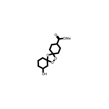 COC(=O)C1CCC2(CC1)OOC1(CCCC(O)C1)O2